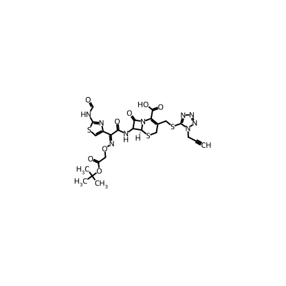 C#CCn1nnnc1SCC1=C(C(=O)O)N2C(=O)C(NC(=O)C(=NOCC(=O)OC(C)(C)C)c3csc(NC=O)n3)[C@@H]2SC1